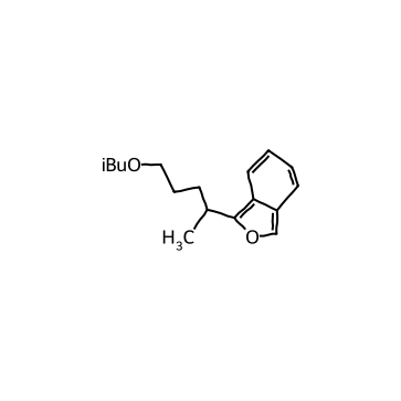 CC(C)COCCCC(C)c1occ2ccccc12